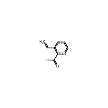 C=Cc1cccnc1C(=O)Cl